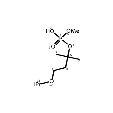 COP(=O)(O)OC(C)(C)CCOC(C)C